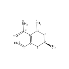 CC1C[C@@H](C)CC(C=N)=C1C(N)=O